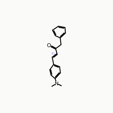 CN(C)c1ccc(/C=C/C(=O)Cc2ccccc2)cc1